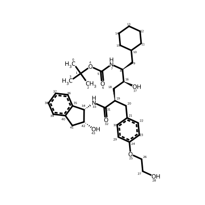 CC(C)(C)OC(=O)N[C@@H](CC1CCCCC1)[C@@H](O)C[C@@H](Cc1ccc(OCCO)cc1)C(=O)N[C@H]1c2ccccc2C[C@H]1O